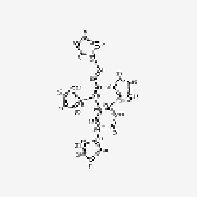 C(=Cc1cccs1)C=C(c1cccs1)c1cc(-c2cccs2)ccc1-c1cccs1